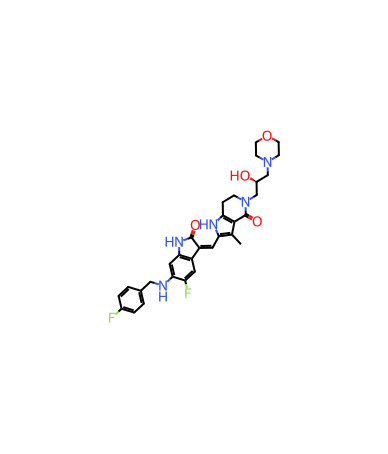 Cc1c(/C=C2\C(=O)Nc3cc(NCc4ccc(F)cc4)c(F)cc32)[nH]c2c1C(=O)N(C[C@@H](O)CN1CCOCC1)CC2